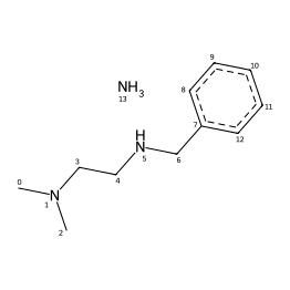 CN(C)CCNCc1ccccc1.N